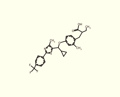 CCC(Cc1ccc(OC(c2sc(-c3ccc(C(F)(F)F)cc3)nc2C)C2CC2)cc1C)C(=O)O